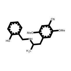 COc1cc(CC(C)NCc2ccccc2O)c(OC)cc1C#N